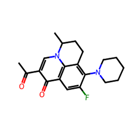 CC(=O)c1cn2c3c(c(N4CCCCC4)c(F)cc3c1=O)CCC2C